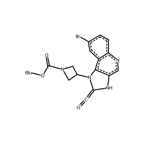 CC(C)(C)OC(=O)N1CC(N2C(=C=O)Nc3cnc4ccc(Br)cc4c32)C1